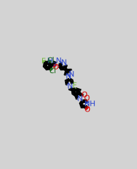 CC(Oc1cc(-c2cnn(C3CCN(Cc4cc5c(cc4F)C(=O)N(C4CCC(=O)NC4=O)C5)CC3)c2)cnc1N)c1c(Cl)ccc(F)c1Cl